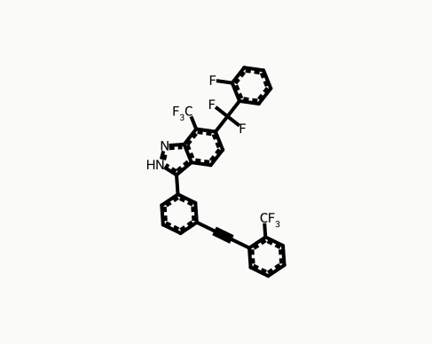 Fc1ccccc1C(F)(F)c1ccc2c(-c3cccc(C#Cc4ccccc4C(F)(F)F)c3)[nH]nc2c1C(F)(F)F